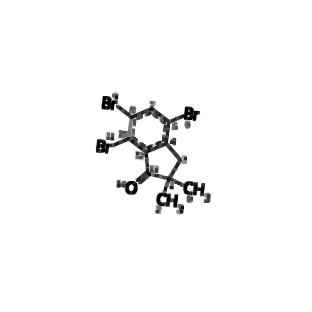 CC1(C)Cc2c(Br)cc(Br)c(Br)c2C1=O